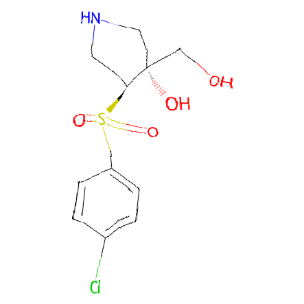 O=S(=O)(c1ccc(Cl)cc1)[C@H]1CNC[C@@]1(O)CO